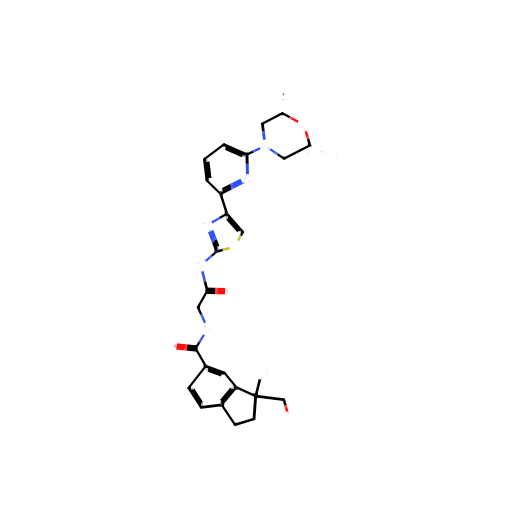 C[C@@H]1CN(c2cccc(-c3csc(NC(=O)CNC(=O)c4ccc5c(c4)C(C)(CO)CC5)n3)n2)C[C@H](C)O1